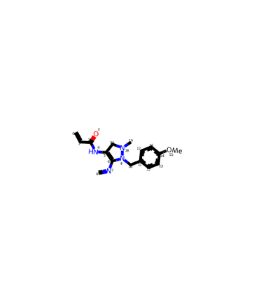 C=CC(=O)NC1=C(N=C)N(Cc2ccc(OC)cc2)N(C)C1